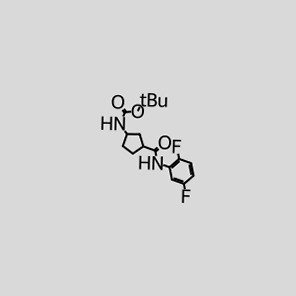 CC(C)(C)OC(=O)NC1CCC(C(=O)Nc2cc(F)ccc2F)C1